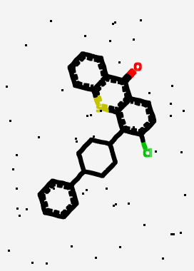 O=c1c2ccccc2sc2c(C3CCC(c4ccccc4)CC3)c(Cl)ccc12